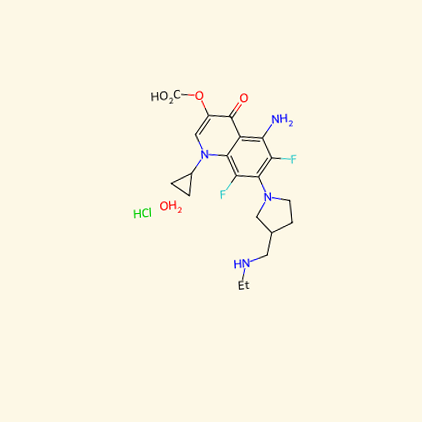 CCNCC1CCN(c2c(F)c(N)c3c(=O)c(OC(=O)O)cn(C4CC4)c3c2F)C1.Cl.O